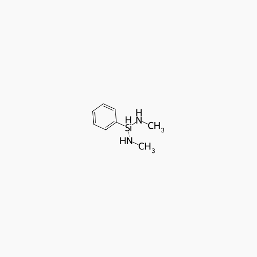 CN[SiH](NC)c1ccccc1